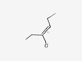 CC/C=C(/Cl)CC